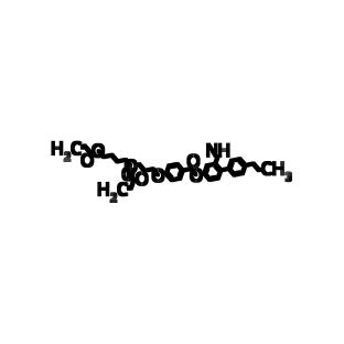 C=CC(=O)OCCCCOCC(COc1ccc(C(=O)Oc2ccc(-c3ccc(CCC)cc3)c(C=N)c2)cc1)OC(=O)C=C